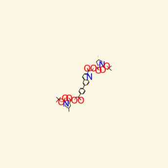 CC1CC(C(=O)OCC(=O)c2ccc(-c3ccc4nc(C(=O)COC(=O)[C@@H]5C[C@H](C)CN5C(=O)OC(C)(C)C)ccc4c3)cc2)N(C(=O)OC(C)(C)C)C1